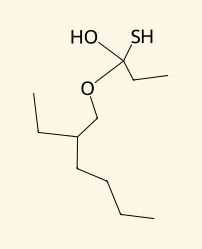 CCCCC(CC)COC(O)(S)CC